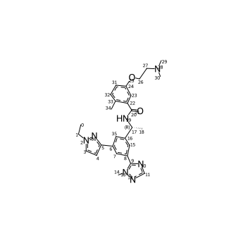 CCn1ccc(-c2cc(-c3ncnn3C)cc([C@@H](C)NC(=O)c3cc(OCCN(C)C)ccc3C)c2)n1